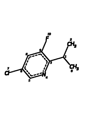 CC(C)c1ncc(Cl)cc1F